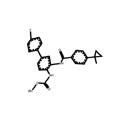 CC(C)(C)OC(=O)Nc1ccc(-c2ccc(F)cc2)cc1NC(=O)c1ccc(C2(C)CC2)cc1